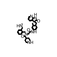 CNCc1ccccc1CN(CC(=O)Nc1ccc2c(c1)C[C@@]1(C2)C(=O)Nc2ncccc21)C(=O)C1CCNCC1